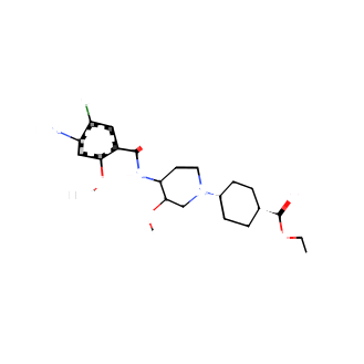 CCOC(=O)[C@H]1CC[C@@H](N2CCC(NC(=O)c3cc(Cl)c(N)cc3OC)C(OC)C2)CC1